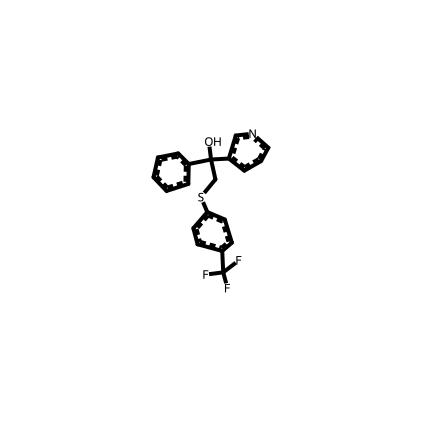 OC(CSc1ccc(C(F)(F)F)cc1)(c1ccccc1)c1cccnc1